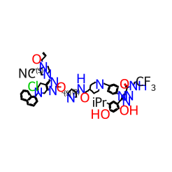 C=CC(=O)N1CCN(c2nc(OC[C@@H]3C[C@@H](NC(=O)C4CCN(Cc5ccc(-n6c(C(=O)NCC(F)(F)F)nnc6-c6cc(C(C)C)c(O)cc6O)cc5)CC4)CN3C)nc3c2CCN(c2cccc4cccc(Cl)c24)C3)C[C@@H]1CC#N